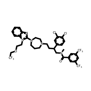 CN(CC(CCN1CCCN(c2nc3ccccc3n2CCOCC(F)(F)F)CC1)c1ccc(Cl)c(Cl)c1)C(=O)c1cc(C(F)(F)F)cc(C(F)(F)F)c1